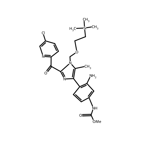 COC(=O)Nc1ccc(-c2nc(C(=O)c3ccc(Cl)cn3)n(COCC[Si](C)(C)C)c2C)c(N)c1